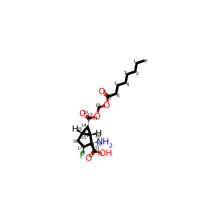 CCCCCCCC(=O)OCOC(=O)[C@H]1[C@H]2C[C@H](F)[C@](N)(C(=O)O)[C@H]21